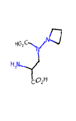 NC(CN(C(=O)O)N1CCC1)C(=O)O